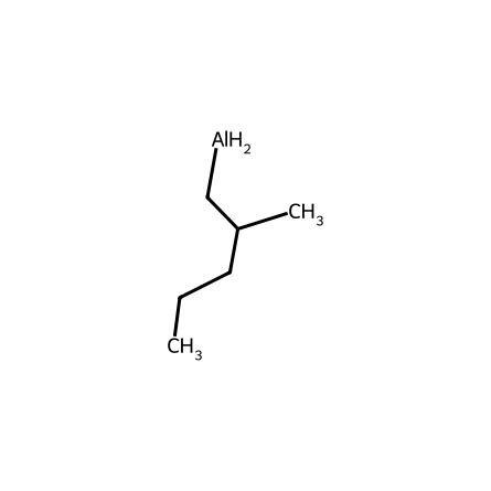 CCCC(C)[CH2][AlH2]